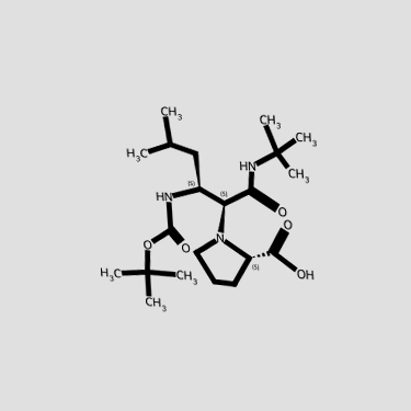 CC(C)C[C@H](NC(=O)OC(C)(C)C)[C@@H](C(=O)NC(C)(C)C)N1CCC[C@H]1C(=O)O